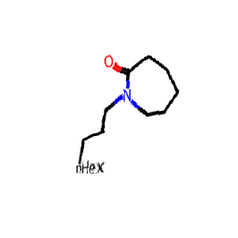 CCCCCCCCCN1CCCCCC1=O